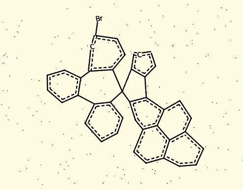 Brc1ccc2c(c1)-c1ccccc1-c1ccccc1C21c2ccccc2-c2c1cc1ccc3cccc4ccc2c1c34